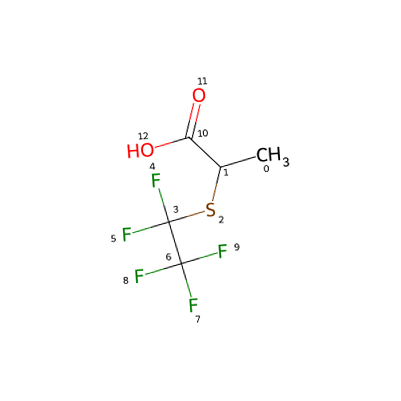 CC(SC(F)(F)C(F)(F)F)C(=O)O